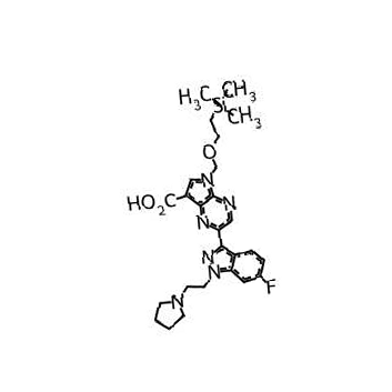 C[Si](C)(C)CCOCn1cc(C(=O)O)c2nc(-c3nn(CCN4CCCC4)c4cc(F)ccc34)cnc21